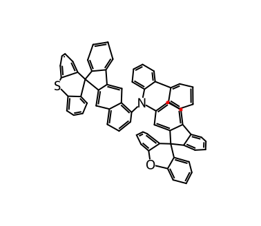 c1ccc(-c2ccccc2N(c2ccc3c(c2)C2(c4ccccc4Oc4ccccc42)c2ccccc2-3)c2cccc3cc4c(cc23)-c2ccccc2C42c3ccccc3Sc3ccccc32)cc1